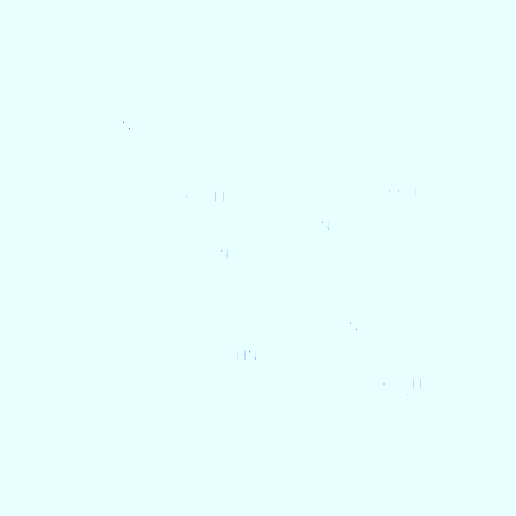 N#CSc1ccc(CC2CNCCN(CC(=O)O)CCN(CC(=O)O)CCN2CC(=O)O)cc1